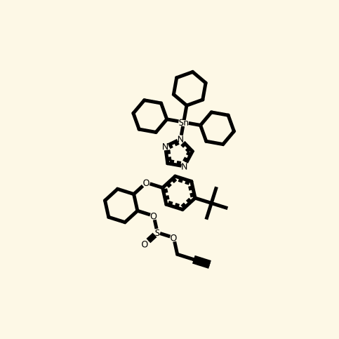 C#CCOS(=O)OC1CCCCC1Oc1ccc(C(C)(C)C)cc1.c1nc[n]([Sn]([CH]2CCCCC2)([CH]2CCCCC2)[CH]2CCCCC2)n1